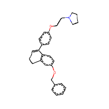 C1=C(c2ccc(OCCN3CCCC3)cc2)c2ccc(OCc3ccccc3)cc2CC1